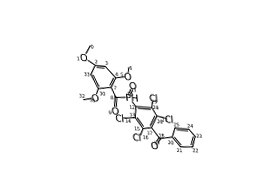 COc1cc(OC)c(C(=O)[PH](=O)c2c(Cl)c(Cl)c(C(=O)c3ccccc3)c(Cl)c2Cl)c(OC)c1